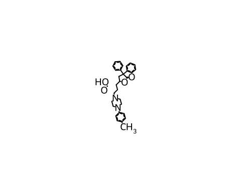 Cc1ccc(N2CCN(CCCC3CC(c4ccccc4)(c4ccccc4)C(=O)O3)CC2)cc1.O=CO